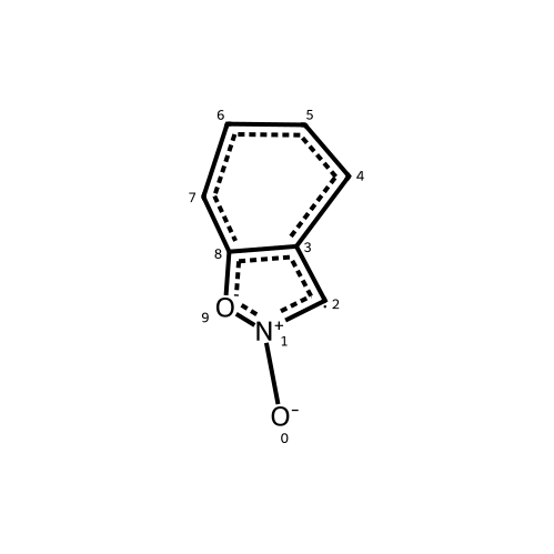 [O-][n+]1[c]c2ccccc2o1